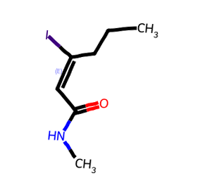 CCC/C(I)=C\C(=O)NC